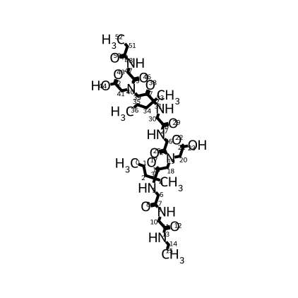 CCCC(C)(NCC(=O)NCC(=O)NCC)C(=O)CN(CC(=O)O)C(=O)CNC(=O)CNC(C)(CCC)C(=O)CN(CC(=O)O)C(=O)CNC(=O)CC